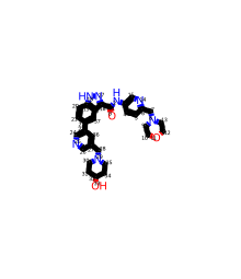 O=C(Nc1ccc(CN2CCOCC2)nc1)c1n[nH]c2ccc(-c3cncc(CN4CCC(O)CC4)c3)cc12